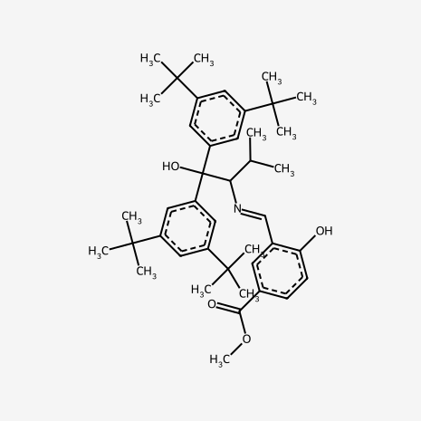 COC(=O)c1ccc(O)c(C=NC(C(C)C)C(O)(c2cc(C(C)(C)C)cc(C(C)(C)C)c2)c2cc(C(C)(C)C)cc(C(C)(C)C)c2)c1